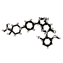 COc1cccc(F)c1-n1nc2c(-c3ccc(N4CCC(C)(N(C)C)CC4)cc3)n[nH]c2cc1=O